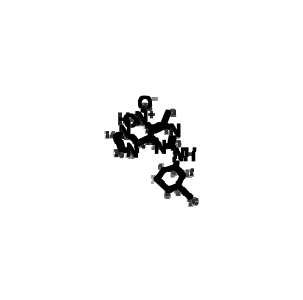 Cc1nc(NC2CCCC(C)C2)nc(-c2ncc[nH]2)c1[N+](=O)[O-]